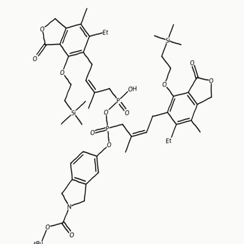 CCc1c(C)c2c(c(OCC[Si](C)(C)C)c1CC=C(C)CP(=O)(O)OP(=O)(CC(C)=CCc1c(CC)c(C)c3c(c1OCC[Si](C)(C)C)C(=O)OC3)Oc1ccc3c(c1)CN(C(=O)OC(C)(C)C)C3)C(=O)OC2